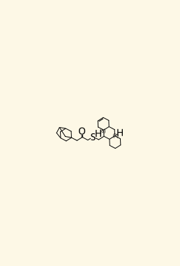 O=C(CSCC1C2CCCC[C@@H]2CC2CC=CC[C@@H]21)CC12CC3CC(C1)C(C3)C2